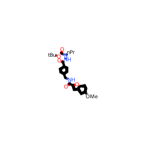 CCCN(NC(=O)c1ccc(CNC(=O)c2cc3cc(OC)ccc3o2)cc1)C(=O)OC(C)(C)C